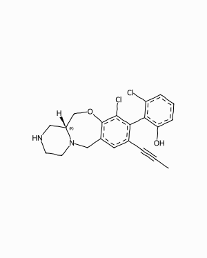 CC#Cc1cc2c(c(Cl)c1-c1c(O)cccc1Cl)OC[C@H]1CNCCN1C2